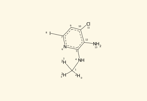 [2H]C([2H])([2H])Nc1nc(I)cc(Cl)c1N